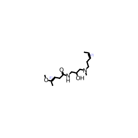 C/C=C\CCN(C)CC(O)CNC(=O)C/C=C(\C)OC